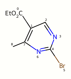 CCOC(=O)c1cnc(Br)nc1C